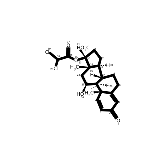 C[C@]12C=CC(=O)C=C1CC[C@H]1[C@@H]3CC[C@](OC(=O)C(Cl)Cl)(C(=O)O)[C@@]3(C)C[C@H](O)[C@@]12F